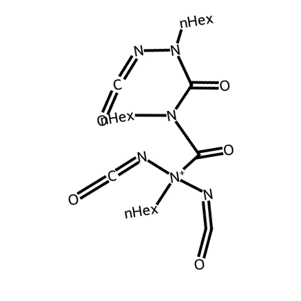 CCCCCCN(N=C=O)C(=O)N(CCCCCC)C(=O)[N+](CCCCCC)(N=C=O)N=C=O